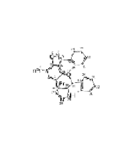 CCCc1cc(CCC)c2onc(-c3ccccc3)c2c1OC(c1ccccc1)c1nnn[nH]1